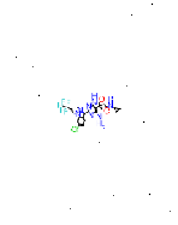 CC1(CC(=O)NC2CC2)C(=O)Nc2nc(-c3nn(CCC(F)(F)C(F)(F)F)c4cc(Cl)ccc34)nc(N)c21